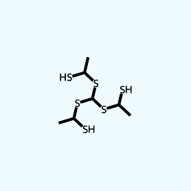 CC(S)SC(SC(C)S)SC(C)S